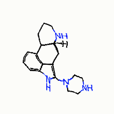 c1cc2c3c(c(N4CCNCC4)[nH]c3c1)C[C@H]1NCCCC21